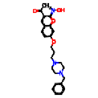 CC(=O)c1cc2ccc(OCCCN3CCN(Cc4ccccc4)CC3)cc2oc1=NO